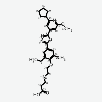 CCc1cc(-c2nnc(-c3cc(OC)nc(C4CCCC4)c3)o2)cc(C)c1OCCNCCC(=O)O